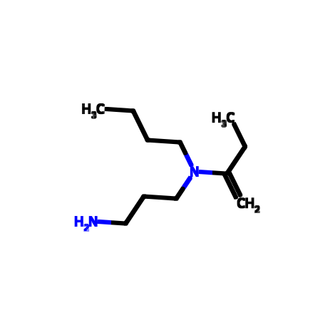 C=C(CC)N(CCCC)CCCN